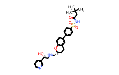 CC(C)(C)CC(=O)NS(=O)(=O)c1ccc(-c2ccc3c(c2)CC[C@H](CNC[C@@H](O)c2cccnc2)O3)cc1